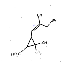 CC(C)C/C(C#N)=C\C1C(C(=O)O)C1(C)C